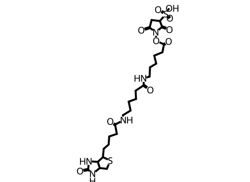 O=C(CCCCCNC(=O)CCCCC1SCC2NC(=O)NC21)NCCCCCC(=O)ON1C(=O)CC(S(=O)(=O)O)C1=O